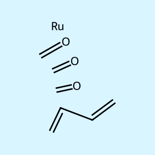 C=CC=C.C=O.C=O.C=O.[Ru]